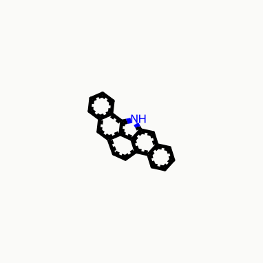 c1ccc2c(c1)cc1[nH]c3c4ccccc4cc4ccc2c1c43